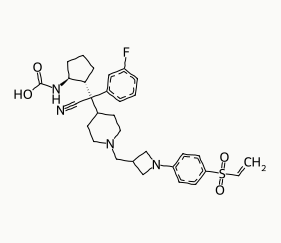 C=CS(=O)(=O)c1ccc(N2CC(CN3CCC(C(C#N)(c4cccc(F)c4)[C@H]4CCC[C@@H]4NC(=O)O)CC3)C2)cc1